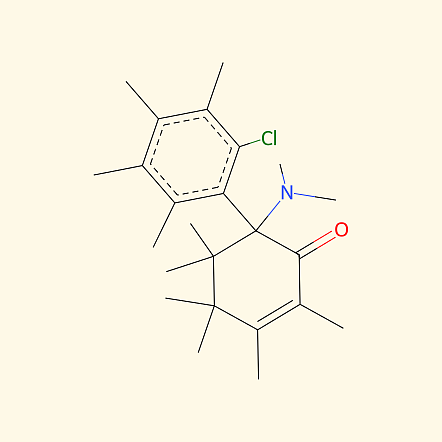 CC1=C(C)C(C)(C)C(C)(C)C(c2c(C)c(C)c(C)c(C)c2Cl)(N(C)C)C1=O